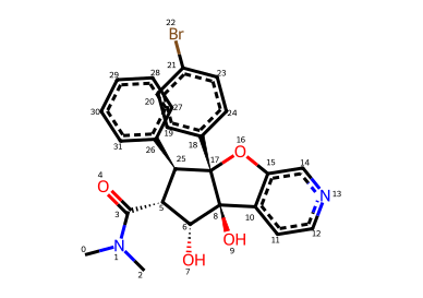 CN(C)C(=O)[C@H]1[C@@H](O)[C@@]2(O)c3ccncc3O[C@@]2(c2ccc(Br)cc2)[C@@H]1c1ccccc1